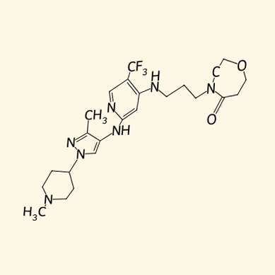 Cc1nn(C2CCN(C)CC2)cc1Nc1cc(NCCCN2CCOCCC2=O)c(C(F)(F)F)cn1